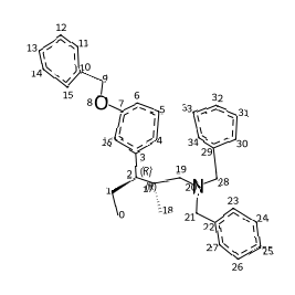 CC[C@@H](c1cccc(OCc2ccccc2)c1)[C@@H](C)CN(Cc1ccccc1)Cc1ccccc1